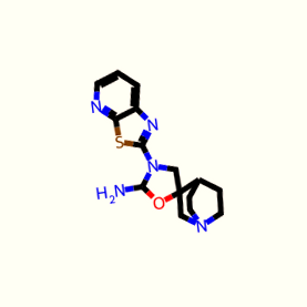 NC1OC2(CN3CCC2CC3)CN1c1nc2cccnc2s1